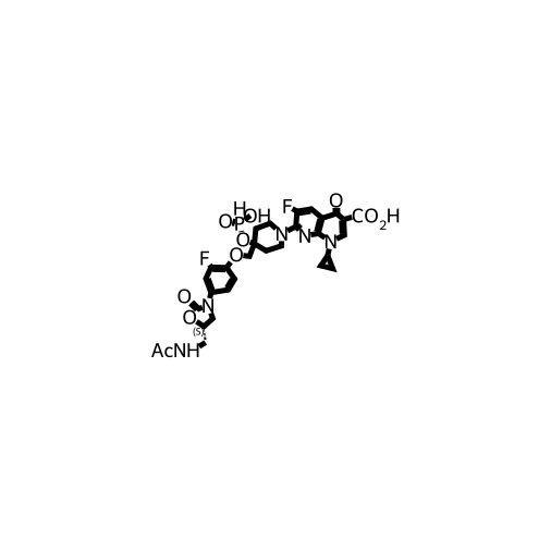 CC(=O)NC[C@H]1CN(c2ccc(OCC3(O[PH](=O)O)CCN(c4nc5c(cc4F)c(=O)c(C(=O)O)cn5C4CC4)CC3)c(F)c2)C(=O)O1